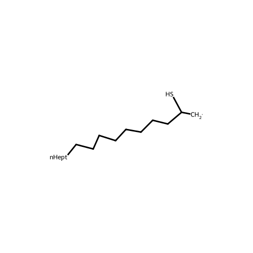 [CH2]C(S)CCCCCCCCCCCCCCC